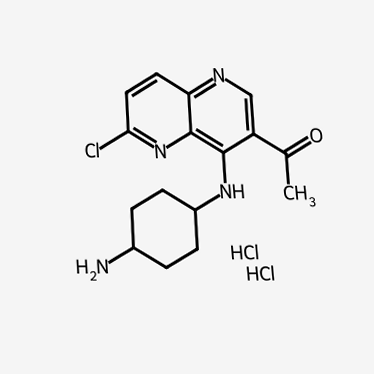 CC(=O)c1cnc2ccc(Cl)nc2c1NC1CCC(N)CC1.Cl.Cl